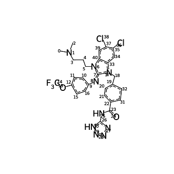 CN(C)CCCn1c(=Nc2ccc(OC(F)(F)F)cc2)n(Cc2ccc(C(=O)Nc3nnn[nH]3)cc2)c2cc(Cl)c(Cl)cc21